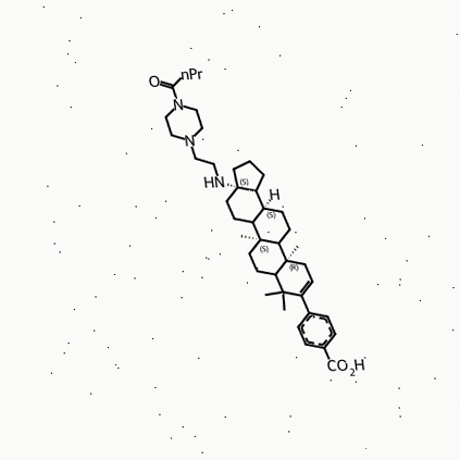 CCCC(=O)N1CCN(CCN[C@]23CCCC2[C@H]2CCC4[C@@](C)(CCC5C(C)(C)C(c6ccc(C(=O)O)cc6)=CC[C@@]54C)C2CC3)CC1